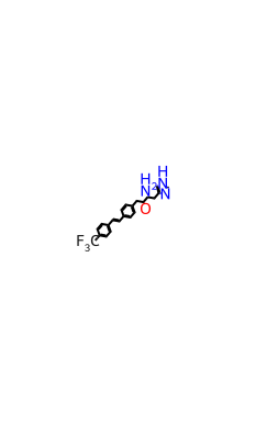 NC(Cc1c[nH]cn1)C(=O)Cc1ccc(/C=C/c2ccc(C(F)(F)F)cc2)cc1